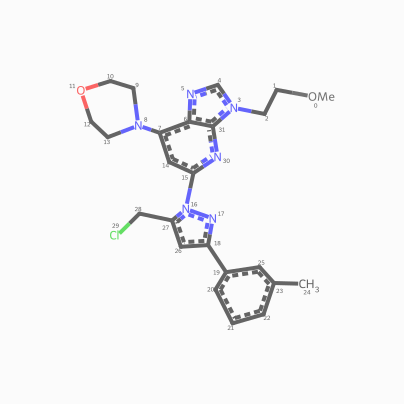 COCCn1cnc2c(N3CCOCC3)cc(-n3nc(-c4cccc(C)c4)cc3CCl)nc21